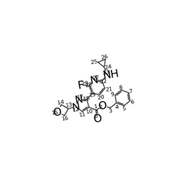 O=C(OCc1ccccc1)c1cn(C2COC2)nc1-c1ccc(NC2CC2)nc1F